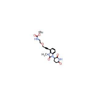 Cn1c(=O)n(C2CCC(=O)NC2=O)c2cccc(C#CCOCCNC(=O)OC(C)(C)C)c21